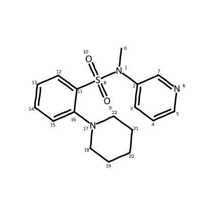 CN(c1cccnc1)S(=O)(=O)c1ccccc1N1CCCCC1